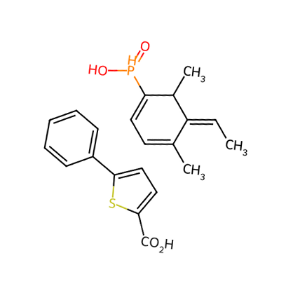 CC=C1C(C)=CC=C([PH](=O)O)C1C.O=C(O)c1ccc(-c2ccccc2)s1